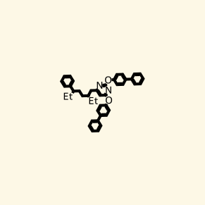 CCC(CCC(CC)c1ccccc1)Cc1cc(Oc2ccc(-c3ccccc3)cc2)nc(Oc2ccc(-c3ccccc3)cc2)n1